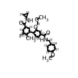 COCOc1cc(C(=O)NCc2ccc(OC)cc2)ccc1-c1cc(C(=O)NC2CC2)cc(F)c1C